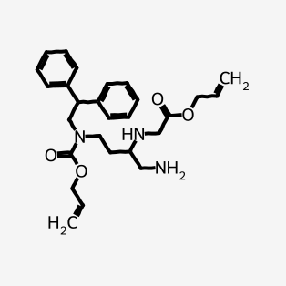 C=CCOC(=O)CNC(CN)CCN(CC(c1ccccc1)c1ccccc1)C(=O)OCC=C